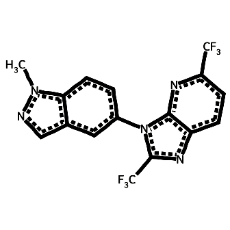 Cn1ncc2cc(-n3c(C(F)(F)F)nc4ccc(C(F)(F)F)nc43)ccc21